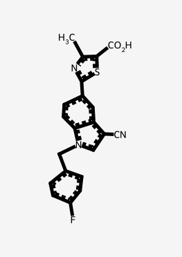 Cc1nc(-c2ccc3c(c2)c(C#N)cn3Cc2ccc(F)cc2)sc1C(=O)O